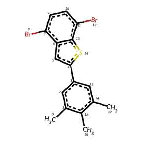 Cc1cc(-c2cc3c(Br)ccc(Br)c3s2)cc(C)c1C